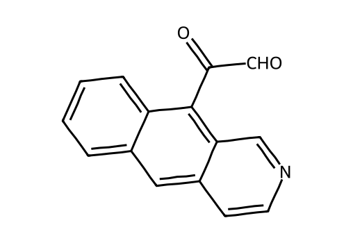 O=CC(=O)c1c2ccccc2cc2ccncc12